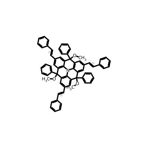 COC1(c2ccccc2)c2cc(/C=C/c3ccccc3)cc3c2N2c4c1cc(/C=C/c1ccccc1)cc4C(OC)(c1ccccc1)c1cc(/C=C/c4ccccc4)cc(c12)C3(OC)c1ccccc1